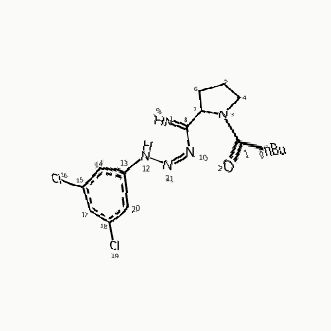 CCCCC(=O)N1CCCC1C(=N)/N=N\Nc1cc(Cl)cc(Cl)c1